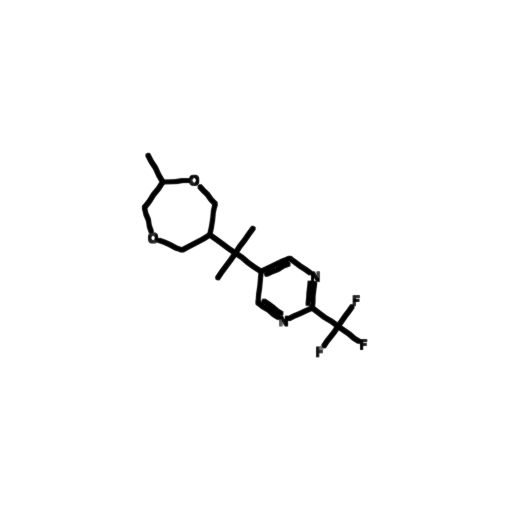 CC1COCC(C(C)(C)c2cnc(C(F)(F)F)nc2)CO1